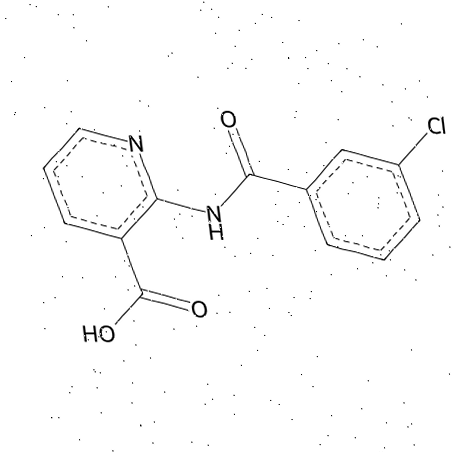 O=C(Nc1ncccc1C(=O)O)c1cccc(Cl)c1